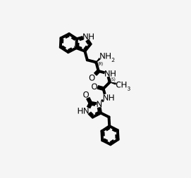 C[C@H](NC(=O)[C@H](N)Cc1c[nH]c2ccccc12)C(=O)Nn1c(Cc2ccccc2)c[nH]c1=O